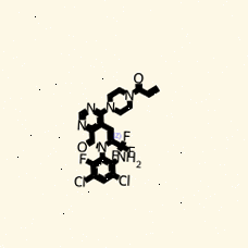 C=CC(=O)N1CCN(c2ncnc(C=O)c2/C=C(\N(C)c2c(N)c(Cl)cc(Cl)c2F)C(F)(F)F)CC1